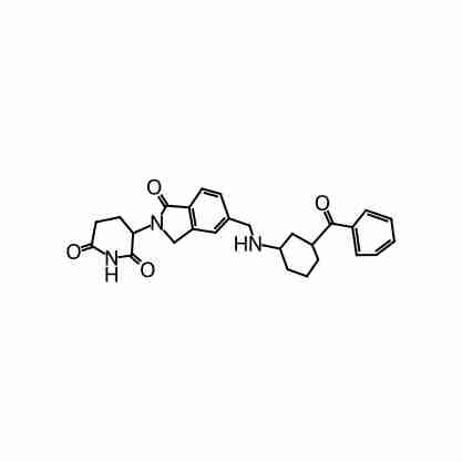 O=C1CCC(N2Cc3cc(CNC4CCCC(C(=O)c5ccccc5)C4)ccc3C2=O)C(=O)N1